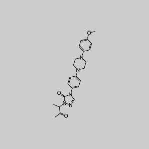 COc1ccc(N2CCN(c3ccc(-n4cnn(C(C)C(C)=O)c4=O)cc3)CC2)cc1